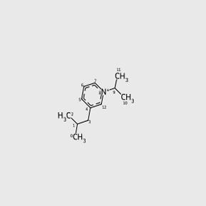 CC(C)Cc1ccc[n+](C(C)C)c1